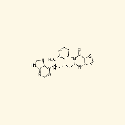 Cc1cccc(-n2c(CCCNc3ncnc4[nH]cnc34)nc3ccsc3c2=O)c1